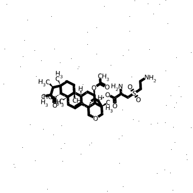 CC(=O)O[C@@H]1C[C@@]23COC[C@](C)([C@@H]2CC[C@H]2C3=CC[C@@]3(C)[C@H](C(=O)O)[C@@](C)([C@H](C)C(C)C)CC[C@]23C)[C@H]1OC(=O)C(N)CS(=O)(=O)CCN